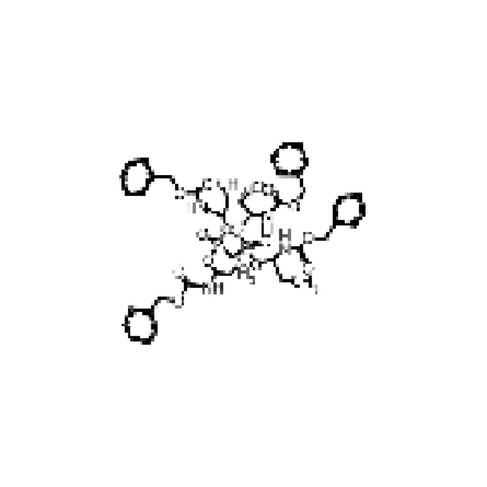 CCC(NC(=O)OCc1ccccc1)OP(=O)(CP(=O)(OC(CC)NC(=O)OCc1ccccc1)OC(CC)NC(=O)OCc1ccccc1)OC(CC)NC(=O)OCc1ccccc1